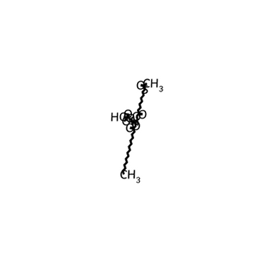 CCCCCCCCCCCCCCCC(=O)O[C@H](COC(=O)CCCCCCCSC(C)=O)COP(=O)(O)O